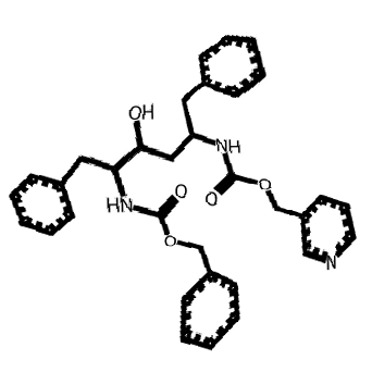 O=C(NC(Cc1ccccc1)CC(O)C(Cc1ccccc1)NC(=O)OCc1ccccc1)OCc1cccnc1